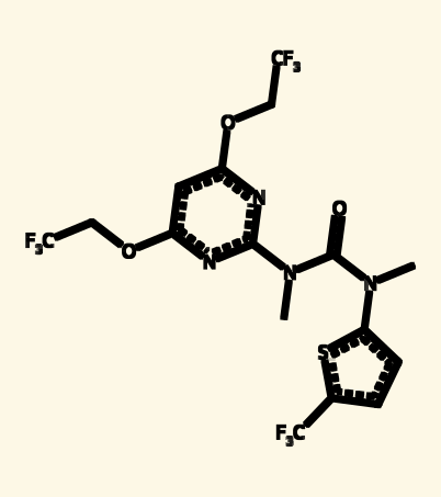 CN(C(=O)N(C)c1ccc(C(F)(F)F)s1)c1nc(OCC(F)(F)F)cc(OCC(F)(F)F)n1